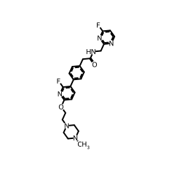 CN1CCN(CCOc2ccc(-c3ccc(CC(=O)NCc4nccc(F)n4)cc3)c(F)n2)CC1